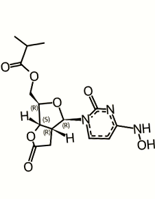 CC(C)C(=O)OC[C@H]1O[C@@H](n2ccc(NO)nc2=O)[C@@H]2CC(=O)O[C@@H]21